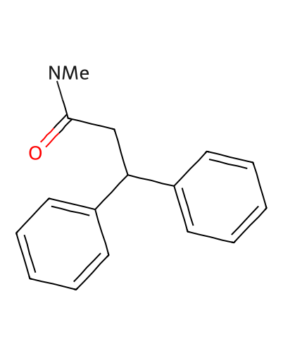 CNC(=O)CC(c1ccccc1)c1ccccc1